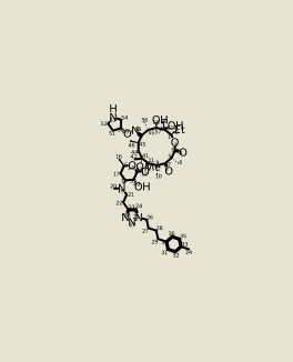 CC[C@H]1OC(=O)[C@H](C)C(=O)[C@H](C)[C@@H](O[C@@H]2O[C@H](C)C[C@H](N(C)CCc3cn(CCCCc4ccc(C)cc4)nn3)[C@H]2O)[C@](C)(OC)C[C@@H](C)/C(=N\O[C@@H]2CCNC2)[C@H](C)[C@@H](O)[C@]1(C)O